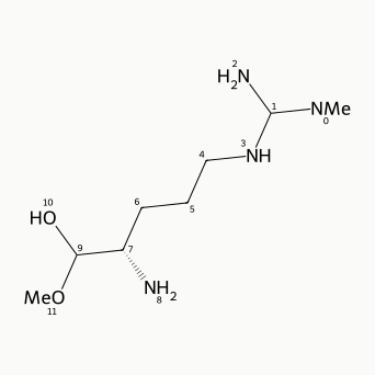 CNC(N)NCCC[C@H](N)C(O)OC